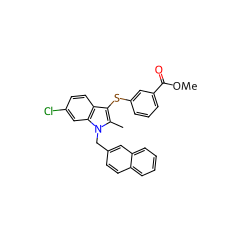 COC(=O)c1cccc(Sc2c(C)n(Cc3ccc4ccccc4c3)c3cc(Cl)ccc23)c1